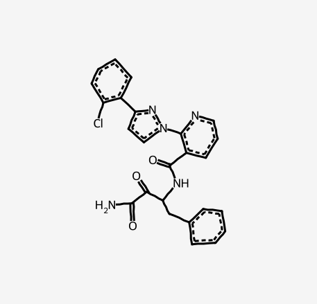 NC(=O)C(=O)C(Cc1ccccc1)NC(=O)c1cccnc1-n1ccc(-c2ccccc2Cl)n1